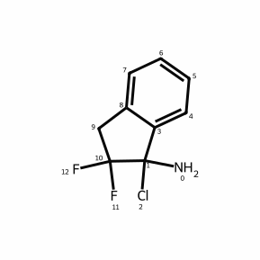 NC1(Cl)c2ccccc2CC1(F)F